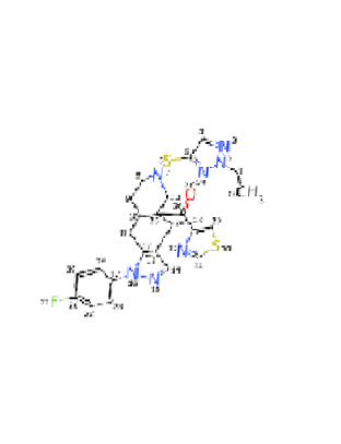 CCn1ncc(SN2CCC3Cc4c(cnn4-c4ccc(F)cc4)CC3(C(=O)c3cscn3)C2)n1